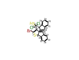 [SH][Zr]([Cl])([Cl])([C]1=C(Br)SC2C1=Cc1ccccc12)[CH]1C=Cc2ccccc21